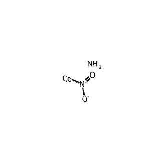 N.O=[N+]([O-])[Ce]